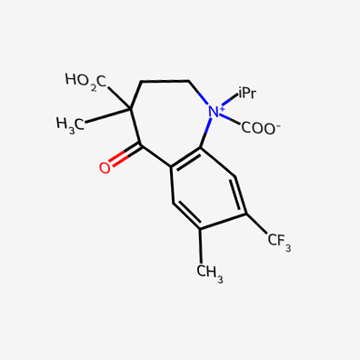 Cc1cc2c(cc1C(F)(F)F)[N+](C(=O)[O-])(C(C)C)CCC(C)(C(=O)O)C2=O